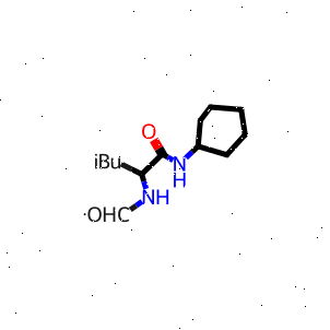 CCC(C)C(N[C]=O)C(=O)NC1CCCCC1